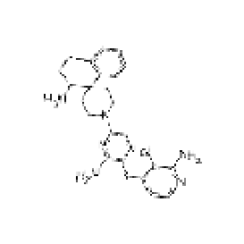 Nc1nc(N2CCC3(CC2)c2ccccc2CCC3N)cnc1Sc1ccnc(N)c1Cl